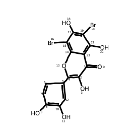 O=c1c(O)c(-c2ccc(O)c(O)c2)oc2c(Br)c(O)c(Br)c(O)c12